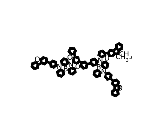 CC1(C)c2ccccc2-c2cc3c(cc21)oc1c(N2c4ccc(-c5ccc6oc7c(N8c9ccccc9B9c%10ccccc%10N(c%10ccc(-c%11ccc%12oc%13ccccc%13c%12c%11)cc%10)c%10cccc8c%109)c8oc9ccccc9c8cc7c6c5)cc4B4c5ccccc5N(c5ccc(-c6ccc7oc8ccccc8c7c6)cc5)c5cccc2c54)cccc13